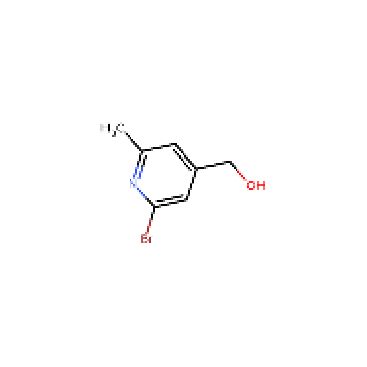 Cc1cc(CO)cc(Br)n1